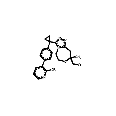 CC1(CO)Cc2nnc(C3(c4ccc(-c5cccnc5C(F)(F)F)cc4)CC3)n2CCS1